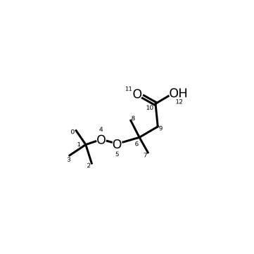 CC(C)(C)OOC(C)(C)CC(=O)O